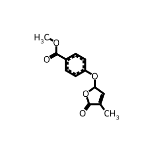 COC(=O)c1ccc(OC2C=C(C)C(=O)O2)cc1